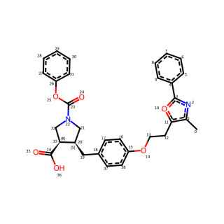 Cc1nc(-c2ccccc2)oc1CCOc1ccc(C[C@@H]2CN(C(=O)Oc3ccccc3)C[C@@H]2C(=O)O)cc1